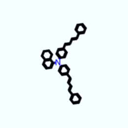 C(C=Cc1ccc(N(c2ccc(C=CC=Cc3ccccc3)cc2)c2cccc3c2CCCC3)cc1)=Cc1ccccc1